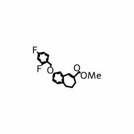 COC(=O)C1=Cc2cc(OCc3ccc(F)cc3F)ccc2CCC1